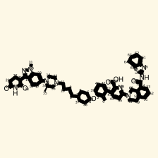 Cc1c(OC2CCC(CCCCN3CCN(c4ccc5c(C6CCC(=O)NC6=O)nn(C)c5c4)[C@H](C)C3)CC2)cccc1-c1ccc(N2CCc3cccc(C(=O)Nc4nc5ccccc5s4)c3C2)nc1C(=O)O